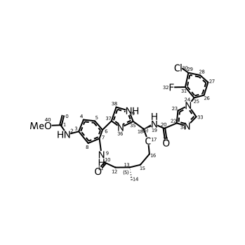 C=C(Nc1ccc2c(c1)NC(=O)C[C@@H](C)CCC[C@H](NC(=O)c1cn(-c3cccc(Cl)c3F)cn1)c1nc-2c[nH]1)OC